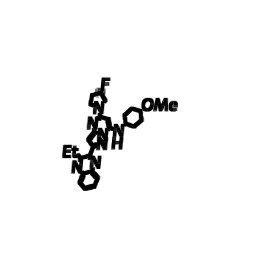 CCc1nc2ccccc2nc1-c1cc2nc(N3CC[C@@H](F)C3)cc(N[C@H]3CC[C@H](OC)CC3)n2n1